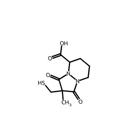 CC1(CS)C(=O)N2CCCC(C(=O)O)N2C1=O